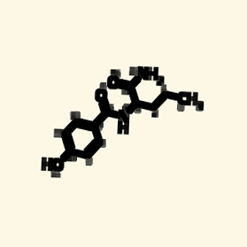 CCCC(NC(=O)c1ccc(O)cc1)C(N)=O